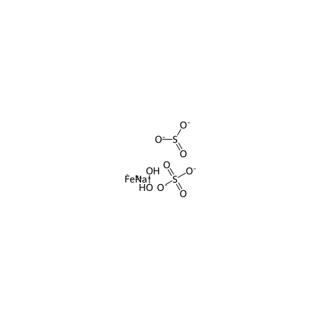 O=S(=O)([O-])[O-].O=S([O-])[O-].OO.[Fe+3].[Na+]